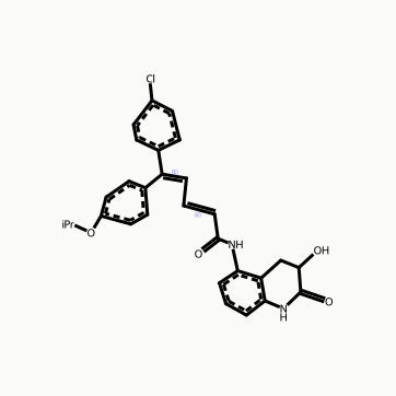 CC(C)Oc1ccc(/C(=C\C=C\C(=O)Nc2cccc3c2CC(O)C(=O)N3)c2ccc(Cl)cc2)cc1